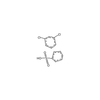 Clc1cccc(Cl)c1.O=S(=O)(O)c1ccccc1